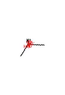 CCCCCCCCCCCCCCCC(C(=O)[O-])C(CCCCCCCCCCCCCCC)(C(=O)[O-])S(=O)(=O)O.[K+].[K+]